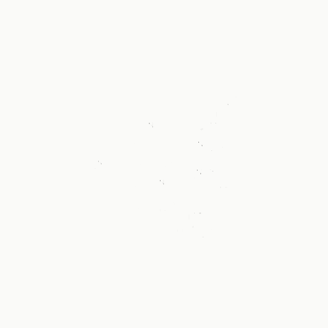 NCc1cccc(C(=O)N(CC(=O)O)c2ccccc2)c1.N[C@@H](CO)C(=O)NC(=O)c1ccc2c(c1)NCC2.O=C(O)C(F)(F)F.O=C(O)C(F)(F)F